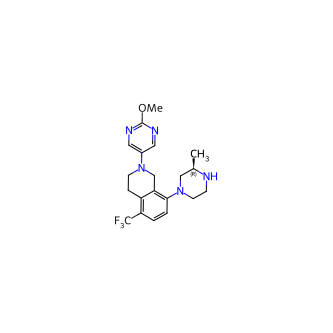 COc1ncc(N2CCc3c(C(F)(F)F)ccc(N4CCN[C@H](C)C4)c3C2)cn1